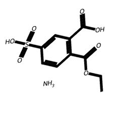 CCOC(=O)c1ccc(S(=O)(=O)O)cc1C(=O)O.N